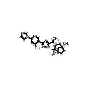 C=C(c1nnc(-c2cnc(-n3ccnc3)cc2O)s1)[C@@H]1C[C@@]2(C)CC[C@](C)(C2)[C@H]1F